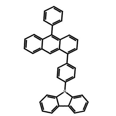 c1ccc(-c2c3ccccc3cc3c(-c4ccc(-n5c6ccccc6c6ccccc65)cc4)cccc23)cc1